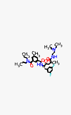 CCCN(CCC)C(=O)c1cc(C)cc(C(=O)N[C@@H](Cc2cc(F)cc(F)c2)[C@@H](O)C[C@@H](C)C(=O)NCCN(CC)CC)c1